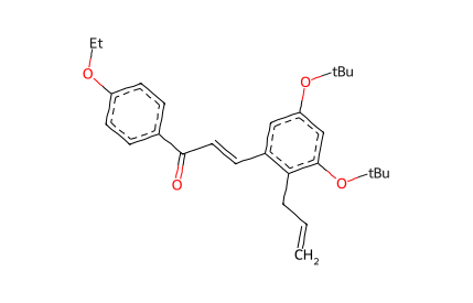 C=CCc1c(/C=C/C(=O)c2ccc(OCC)cc2)cc(OC(C)(C)C)cc1OC(C)(C)C